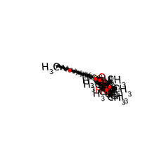 CCCCCCCCCCCCCCCCCCSCCC(=O)Oc1c(C(CCC)c2cc(C)cc(C(C)(C)C)c2O)cc(C)cc1C(C)(C)C